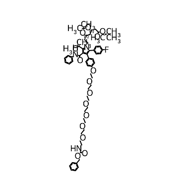 CC(C)c1c(C(=O)Nc2ccccc2)c(-c2ccc(OCCOCCOCCOCCOCCOCCOCCNC(=O)OCc3ccccc3)cc2)c(-c2ccc(F)cc2)n1CC[C@@H]1C[C@H](CC(=O)OC(C)(C)C)OC(C)(C)O1